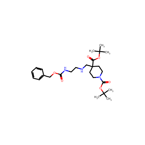 CC(C)(C)OC(=O)N1CCC(CNCCNC(=O)OCc2ccccc2)(C(=O)OC(C)(C)C)CC1